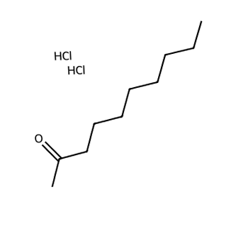 CCCCCCCCC(C)=O.Cl.Cl